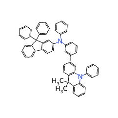 CC1(C)c2ccccc2N(c2ccccc2)c2cc(-c3cccc(N(c4ccccc4)c4ccc5c(c4)C(c4ccccc4)(c4ccccc4)c4ccccc4-5)c3)ccc21